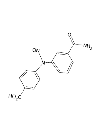 NC(=O)c1cccc(N(N=O)c2ccc(C(=O)O)cc2)c1